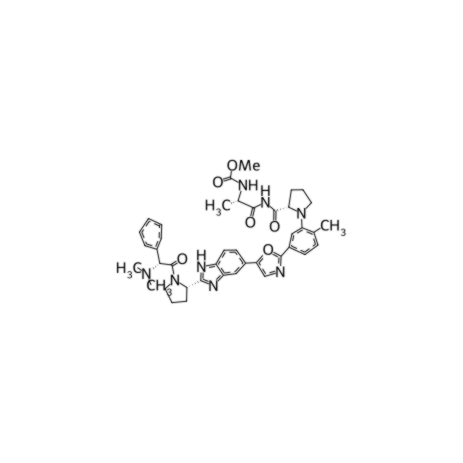 COC(=O)N[C@@H](C)C(=O)NC(=O)[C@@H]1CCCN1c1cc(-c2ncc(-c3ccc4[nH]c([C@@H]5CCCN5C(=O)[C@@H](c5ccccc5)N(C)C)nc4c3)o2)ccc1C